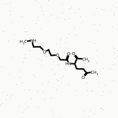 CNCCOCCOCC(=O)NC(CCC(C)=O)C(C)=O